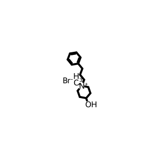 C[N+]1(CCCc2ccccc2)CCC(O)CC1.[Br-]